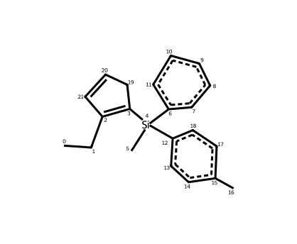 CCC1=C([Si](C)(c2ccccc2)c2ccc(C)cc2)CC=C1